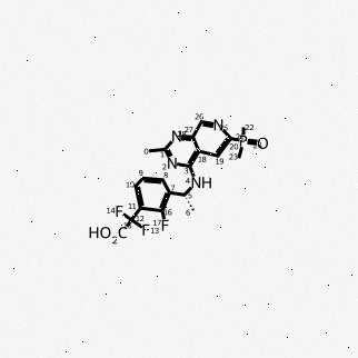 Cc1nc(N[C@H](C)c2cccc(C(F)(F)C(=O)O)c2F)c2cc(P(C)(C)=O)ncc2n1